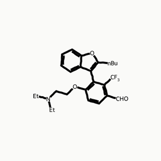 CCCCc1oc2ccccc2c1-c1c(OCCN(CC)CC)ccc(C=O)c1C(F)(F)F